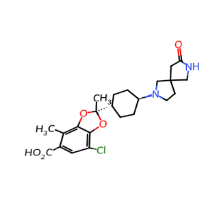 Cc1c(C(=O)O)cc(Cl)c2c1OC(C)([C@H]1CC[C@H](N3CCC4(CNC(=O)C4)C3)CC1)O2